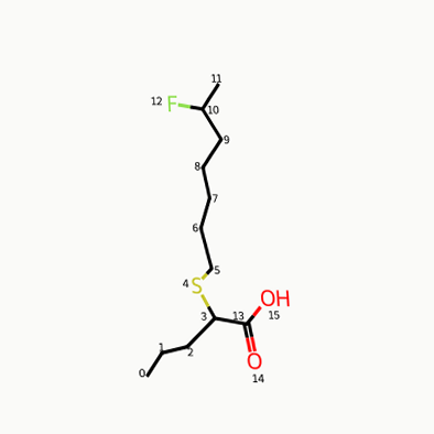 CCCC(SCCCCCC(C)F)C(=O)O